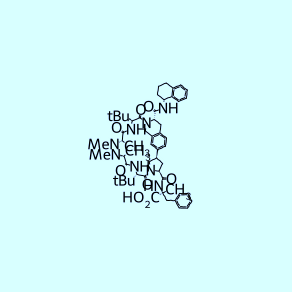 CN[C@@H](C)C(=O)N[C@H](C(=O)N1Cc2cc([C@H]3C[C@@H](C(=O)N[C@@](C)(Cc4ccccc4)C(=O)O)N(C(=O)[C@@H](NC(=O)[C@H](C)NC)C(C)(C)C)C3)ccc2C[C@H]1C(=O)N[C@@H]1CCCc2ccccc21)C(C)(C)C